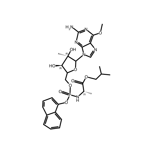 COc1nc(N)nc2c1ncn2C1OC(COP(=O)(N[C@@H](C)C(=O)OCC(C)C)Oc2cccc3ccccc23)[C@@H](O)[C@@]1(C)O